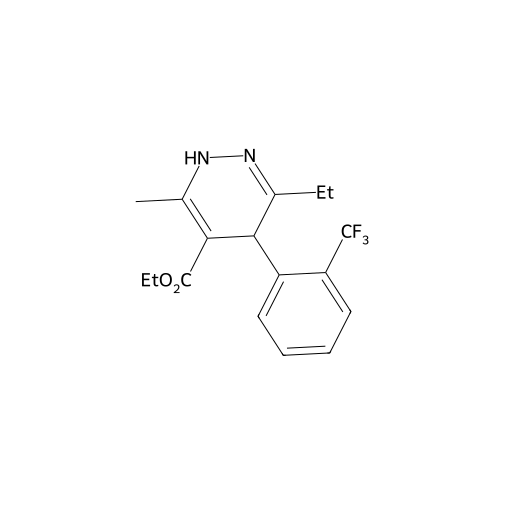 CCOC(=O)C1=C(C)NN=C(CC)C1c1ccccc1C(F)(F)F